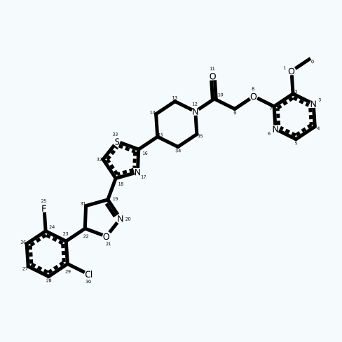 COc1nccnc1OCC(=O)N1CCC(c2nc(C3=NOC(c4c(F)cccc4Cl)C3)cs2)CC1